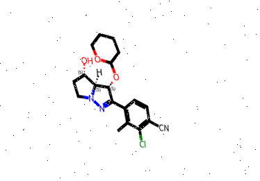 Cc1c(C2=NN3CC[C@H](O)[C@H]3[C@@H]2OC2CCCCO2)ccc(C#N)c1Cl